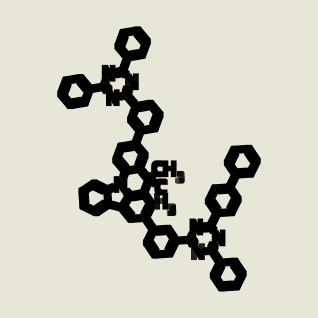 CC1(C)c2cc(-c3cccc(-c4nc(-c5ccccc5)nc(-c5ccccc5)n4)c3)ccc2-n2c3ccccc3c3cc(-c4cccc(-c5nc(-c6ccccc6)nc(-c6ccc(-c7ccccc7)cc6)n5)c4)cc1c32